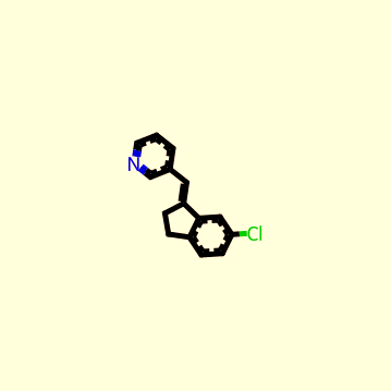 Clc1ccc2c(c1)C(=Cc1cccnc1)CC2